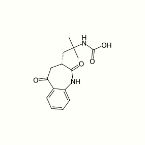 CC(C)(C[C@H]1CC(=O)c2ccccc2NC1=O)NC(=O)O